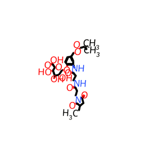 CCC1CC(=O)N(CCC(=O)NCCC(=O)Nc2cc(COC(=O)C(C)C)ccc2OC2OC(C(=O)O)C(O)C(O)C2O)C1=O